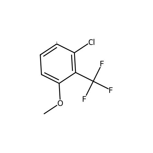 COc1cc[c]c(Cl)c1C(F)(F)F